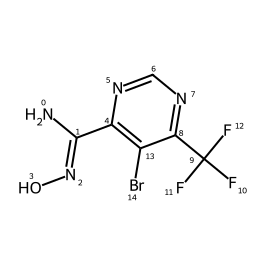 NC(=NO)c1ncnc(C(F)(F)F)c1Br